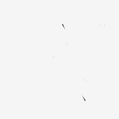 C[C@H]1CCc2c(ccc3c2nc(Cc2ccccc2)n3[C@@H](C)C2CCNCC2)N1